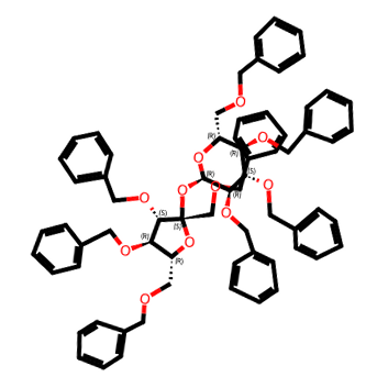 c1ccc(COC[C@H]2O[C@@](COCc3ccccc3)(O[C@H]3O[C@H](COCc4ccccc4)[C@@H](OCc4ccccc4)[C@H](OCc4ccccc4)[C@H]3OCc3ccccc3)[C@@H](OCc3ccccc3)[C@@H]2OCc2ccccc2)cc1